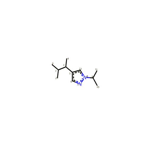 CC(C)C(C)c1cnn(C(C)C)c1